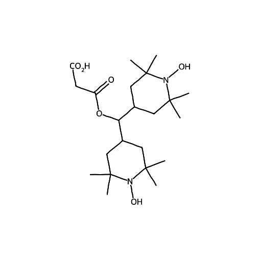 CC1(C)CC(C(OC(=O)CC(=O)O)C2CC(C)(C)N(O)C(C)(C)C2)CC(C)(C)N1O